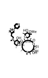 CC[C@H]1OC(=O)[C@H](C)[C@@H](C2C[C@@](C)(OC)[C@@H](O)[C@H](C)O2)[C@H](C)[C@@H](O[C@@H]2O[C@H](C)C[C@H](N(C)CCc3cn(-c4ccncc4)nn3)[C@H]2O)[C@](C)(O)C[C@@H](C)CN(C)[C@H](C)[C@@H](O)[C@]1(C)O